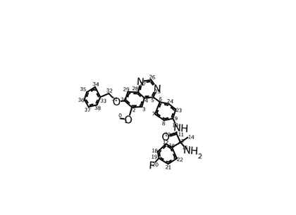 COc1cc2c(-c3ccc(NC(=O)C(C)(N)c4ccc(F)cc4)cc3)ncnc2cc1OCc1ccccc1